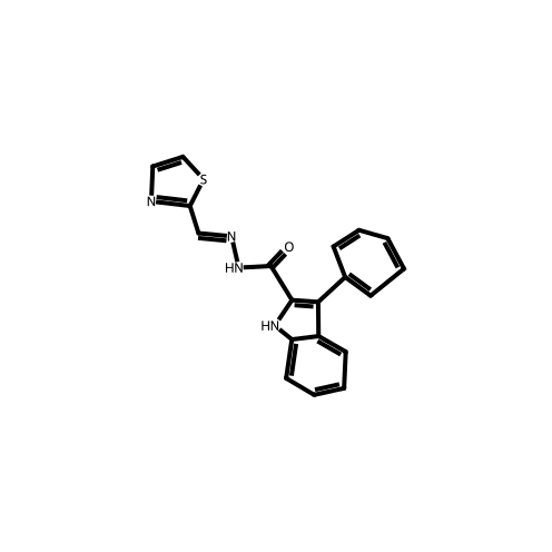 O=C(NN=Cc1nccs1)c1[nH]c2ccccc2c1-c1ccccc1